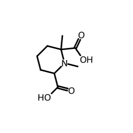 CN1C(C(=O)O)CCCC1(C)C(=O)O